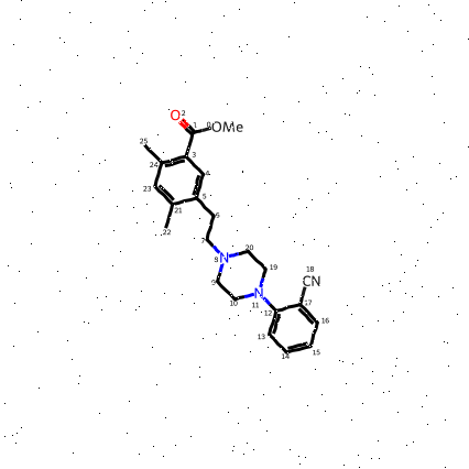 COC(=O)c1cc(CCN2CCN(c3ccccc3C#N)CC2)c(C)cc1C